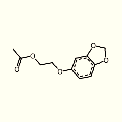 CC(=O)OCCOc1ccc2c(c1)OCO2